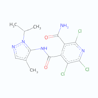 Cc1cnn(C(C)C)c1NC(=O)c1c(Cl)c(Cl)nc(Cl)c1C(N)=O